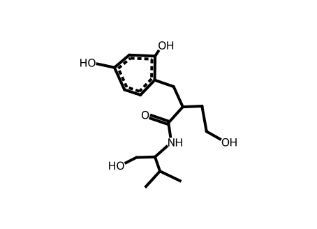 CC(C)C(CO)NC(=O)C(CCO)Cc1ccc(O)cc1O